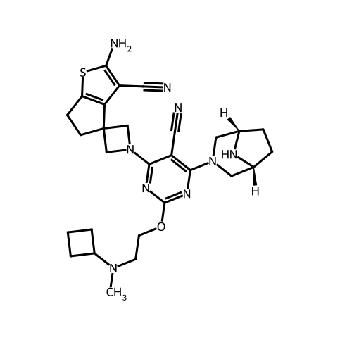 CN(CCOc1nc(N2C[C@H]3CC[C@@H](C2)N3)c(C#N)c(N2CC3(CCc4sc(N)c(C#N)c43)C2)n1)C1CCC1